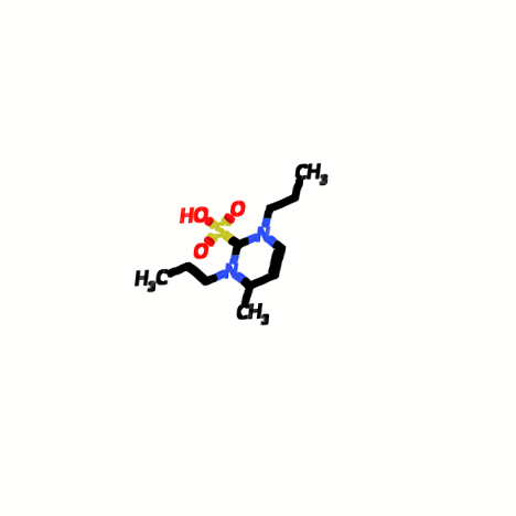 CCCN1C=CC(C)N(CCC)C1S(=O)(=O)O